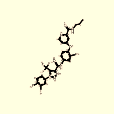 CCCNC(=O)c1cc(Oc2ccc(NC(=O)c3nnn(-c4ccc(F)c(F)c4)c3C(F)(F)F)cc2F)ccn1